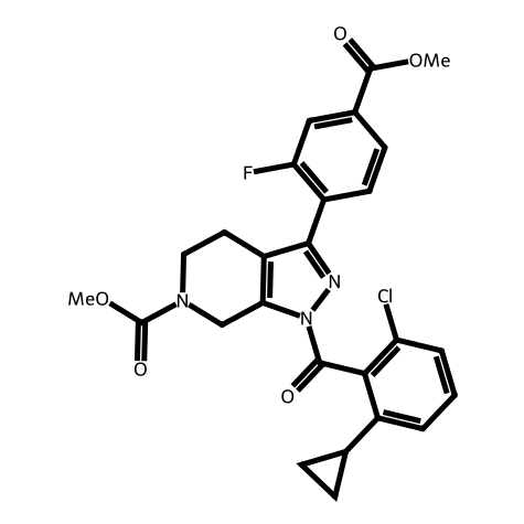 COC(=O)c1ccc(-c2nn(C(=O)c3c(Cl)cccc3C3CC3)c3c2CCN(C(=O)OC)C3)c(F)c1